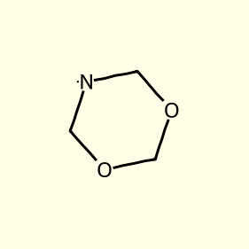 C1[N]COCO1